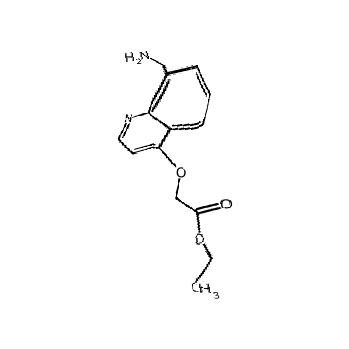 CCOC(=O)COc1ccnc2c(N)cccc12